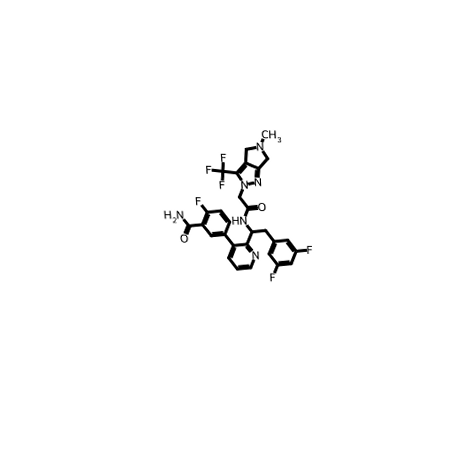 CN1Cc2nn(CC(=O)NC(Cc3cc(F)cc(F)c3)c3ncccc3-c3ccc(F)c(C(N)=O)c3)c(C(F)(F)F)c2C1